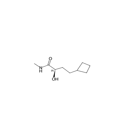 CNC(=O)[C@H](O)CCC1CCC1